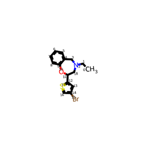 CCN1Cc2ccccc2OC(c2cc(Br)cs2)C1